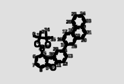 CC1(C)OB(c2cccc3oc4ccc(-c5ccc6c(ccc7ccccc76)c5)cc4c23)OC1(C)C